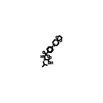 CC(C)C[C@H](NS(=O)(=O)c1ccc(N2CCC3(CC2)OCCO3)cc1)C(=O)O